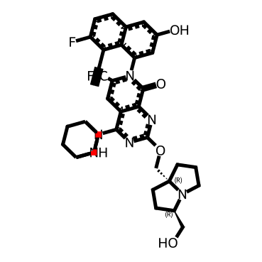 C#Cc1c(F)ccc2cc(O)cc(-n3c(C(F)(F)F)cc4c(N5CC6CCC5CN6)nc(OC[C@]56CCCN5[C@@H](CO)CC6)nc4c3=O)c12